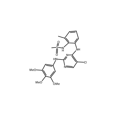 COc1cc(Nc2ncc(Cl)c(Nc3cccc(C)c3NS(C)(=O)=O)n2)cc(OC)c1OC